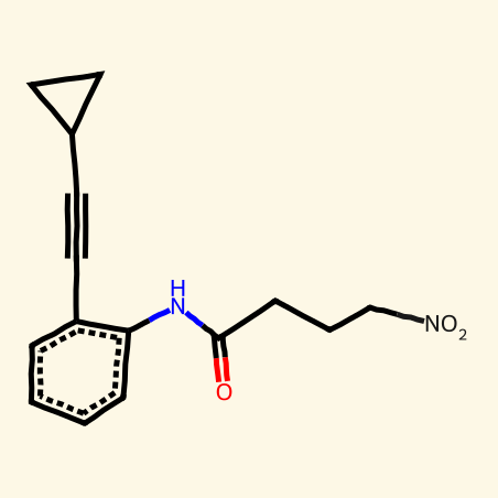 O=C(CCC[N+](=O)[O-])Nc1ccccc1C#CC1CC1